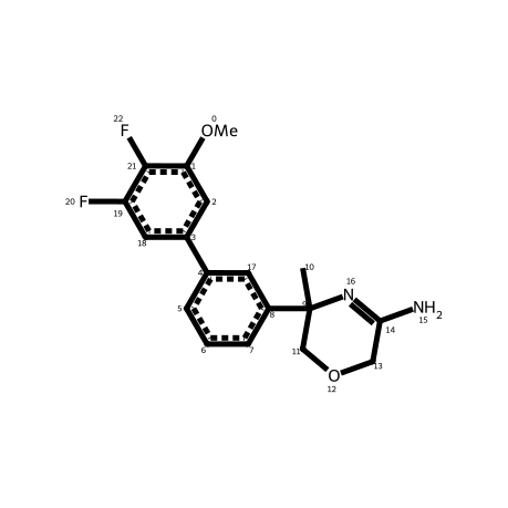 COc1cc(-c2cccc(C3(C)COCC(N)=N3)c2)cc(F)c1F